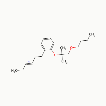 [CH2]C/C=C/CCc1ccccc1OC(C)(C)COCCCC